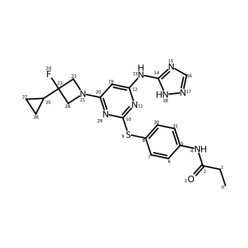 CCC(=O)Nc1ccc(Sc2nc(Nc3ncn[nH]3)cc(N3CC(F)(C4CC4)C3)n2)cc1